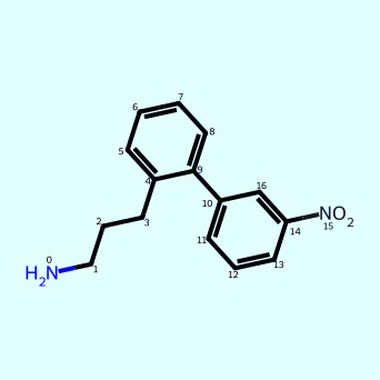 NCCCc1ccccc1-c1cccc([N+](=O)[O-])c1